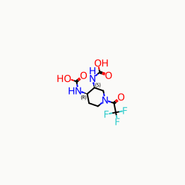 O=C(O)N[C@H]1CN(C(=O)C(F)(F)F)CC[C@H]1NC(=O)O